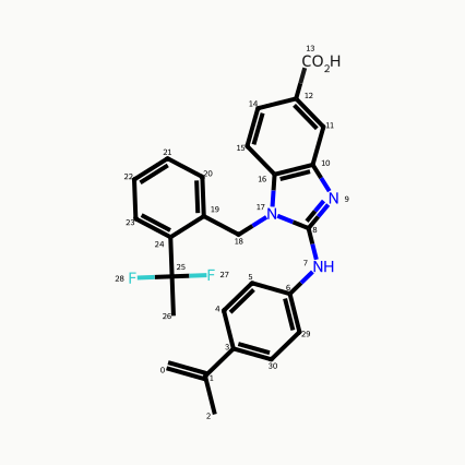 C=C(C)c1ccc(Nc2nc3cc(C(=O)O)ccc3n2Cc2ccccc2C(C)(F)F)cc1